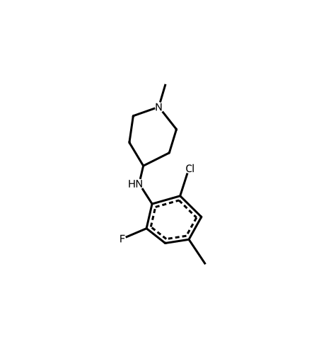 Cc1cc(F)c(NC2CCN(C)CC2)c(Cl)c1